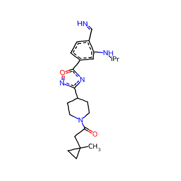 CC(C)Nc1cc(-c2nc(C3CCN(C(=O)CC4(C)CC4)CC3)no2)ccc1C=N